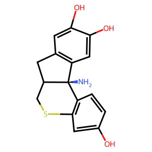 N[C@]12c3cc(O)c(O)cc3CC1CSc1cc(O)ccc12